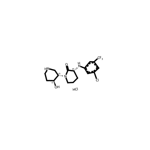 Cl.O=C1[C@H](Nc2cc(Cl)cc(C(F)(F)F)c2)CCCN1[C@H]1CNCC[C@@H]1O